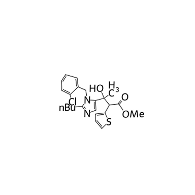 CCCCc1ncc(C(C)(O)C(C(=O)OC)c2cccs2)n1Cc1ccccc1Cl